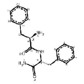 NC(=O)[C@@H](Cc1ccccc1)NC(=O)[C@H](N)Cc1ccccc1